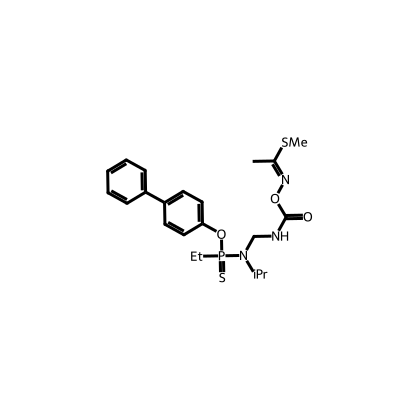 CCP(=S)(Oc1ccc(-c2ccccc2)cc1)N(CNC(=O)ON=C(C)SC)C(C)C